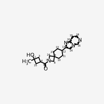 CC1(O)CC(C(=O)N2CC3(CCC(c4cn5cnccc5n4)CC3)C2)C1